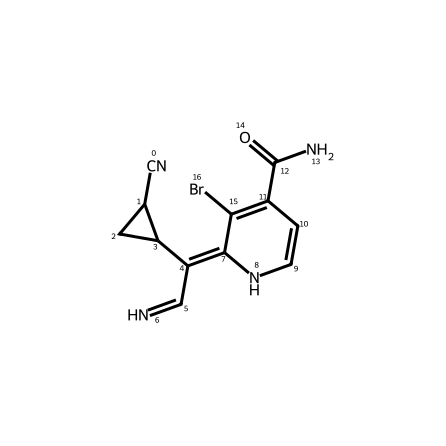 N#CC1CC1/C(C=N)=C1/NC=CC(C(N)=O)=C1Br